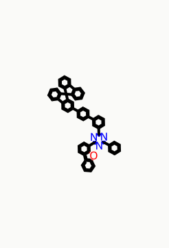 c1ccc(-c2nc(-c3cccc(-c4ccc(-c5ccc6c(c5)C5(c7ccccc7-c7ccccc75)c5ccccc5-6)cc4)c3)nc(-c3cccc4c3oc3ccccc34)n2)cc1